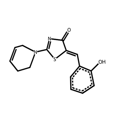 O=C1N=C(N2CC=CCC2)SC1=Cc1ccccc1O